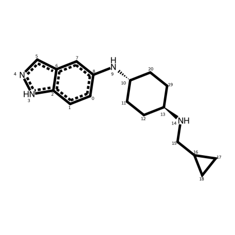 c1cc2[nH]ncc2cc1N[C@H]1CC[C@H](NCC2CC2)CC1